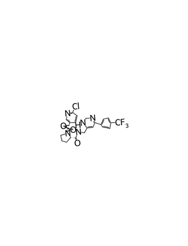 O=C(NCc1cc(-c2ccc(C(F)(F)F)cc2)ncn1)[C@@H]1CCCN1S(=O)(=O)c1ccc(Cl)nc1